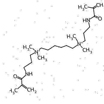 C=C(C)C(=O)NCCC[N+](C)(C)CCCCCC[N+](C)(C)CCCNC(=O)C(=C)C